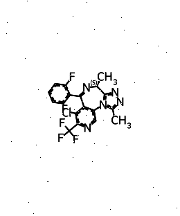 Cc1nnc2n1-c1cnc(C(F)(F)F)c(Cl)c1C(c1c(F)cccc1F)=N[C@H]2C